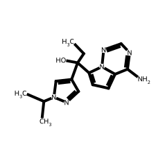 CCC(O)(c1cnn(C(C)C)c1)c1ccc2c(N)ncnn12